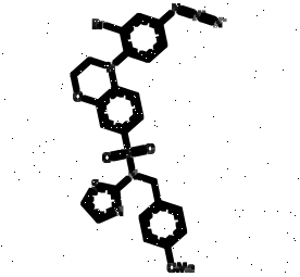 COc1ccc(CN(c2nccs2)S(=O)(=O)c2ccc3c(c2)OCCN3c2ccc(N=[N+]=[N-])cc2Br)cc1